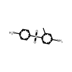 Cc1cc(N)ccc1S(=O)(=O)c1ccc(N)cc1